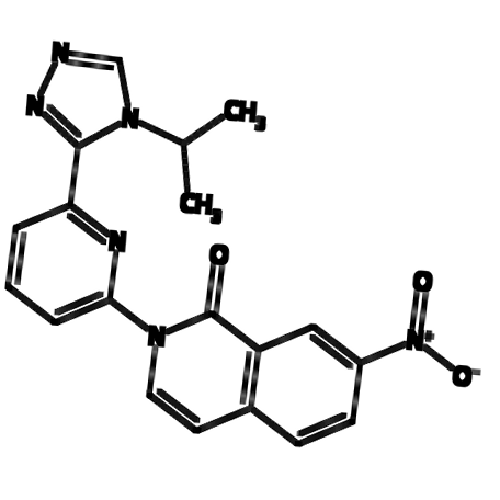 CC(C)n1cnnc1-c1cccc(-n2ccc3ccc([N+](=O)[O-])cc3c2=O)n1